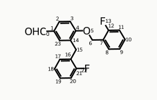 O=Cc1ccc(OCc2ccccc2F)c(Cc2ccccc2F)c1